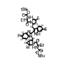 CC[C@H](NC(=O)OC(C)(C)C)C(=O)N1C[C@@H](F)C[C@H]1Cc1c(-c2nc3cc(F)ccc3n2C[C@@H]2C3C[C@H]3CN2C(=O)[C@H](CC)NC(=O)OC(C)(C)C)[nH]c2cc(F)ccc12